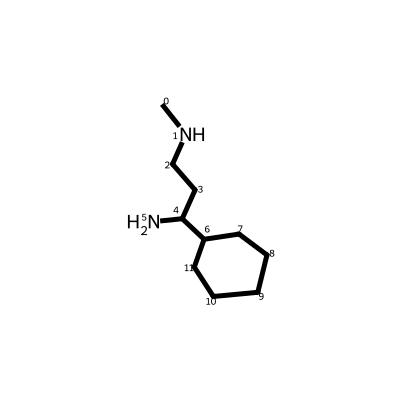 CNCCC(N)C1CCCCC1